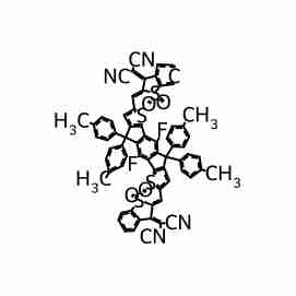 Cc1ccc(C2(c3ccc(C)cc3)c3cc(/C=C4/C(=C(C#N)C#N)c5ccccc5S4(=O)=O)sc3-c3c(F)c4c(c(F)c32)-c2sc(/C=C3/C(=C(C#N)C#N)c5ccccc5S3(=O)=O)cc2C4(c2ccc(C)cc2)c2ccc(C)cc2)cc1